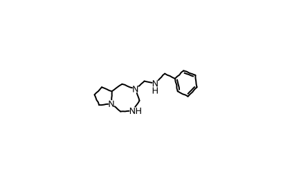 c1ccc(CNCN2CNCN3CCCC3C2)cc1